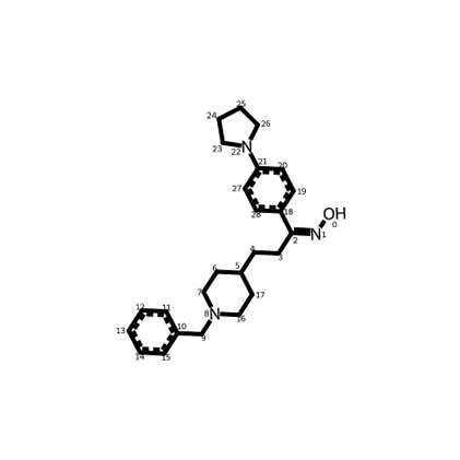 O/N=C(/CCC1CCN(Cc2ccccc2)CC1)c1ccc(N2CCCC2)cc1